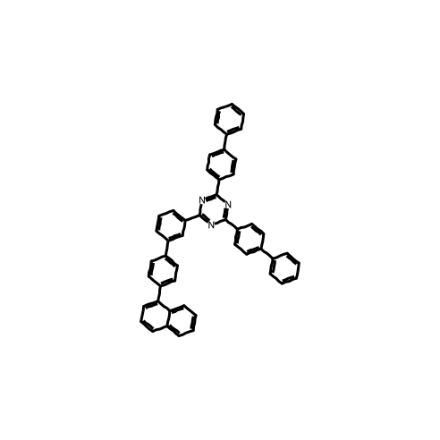 c1ccc(-c2ccc(-c3nc(-c4ccc(-c5ccccc5)cc4)nc(-c4cccc(-c5ccc(-c6cccc7ccccc67)cc5)c4)n3)cc2)cc1